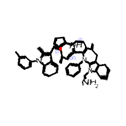 C=C(/C=C\c1c(C)n(-c2cccc(C)c2)c2c1=CCCC=2)/C=C(\NC1=CC=CC1)C1=C(/C=C\C)C(=C)Cc2c3c(n(CN)c2N1c1ccccc1)C=CCC3